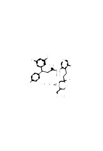 CC(C)(C)C1(CCc2c(F)cncc2NC(=O)CC(c2ccc(F)cc2)c2cc(F)cc(F)c2)CN(C(=O)O)C(CO)CO1